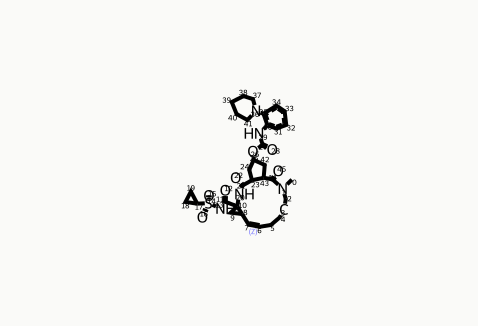 CN1CCCC/C=C\C2CC2(C(=O)NS(=O)(=O)C2CC2)NC(=O)C2CC(OC(=O)Nc3ccccc3N3CCCCC3)CC2C1=O